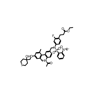 CCOC(=O)CCc1ccc(N(Cc2ccc(NC(C)=O)c(-c3c(C)cc(OCC4(O)CCSCC4)cc3C)c2)S(=O)(=O)c2ccccc2[N+](=O)[O-])cc1F